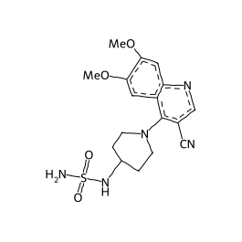 COc1cc2ncc(C#N)c(N3CCC(NS(N)(=O)=O)CC3)c2cc1OC